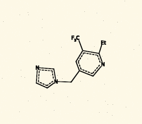 CCc1ncc(Cn2ccnc2)cc1C(F)(F)F